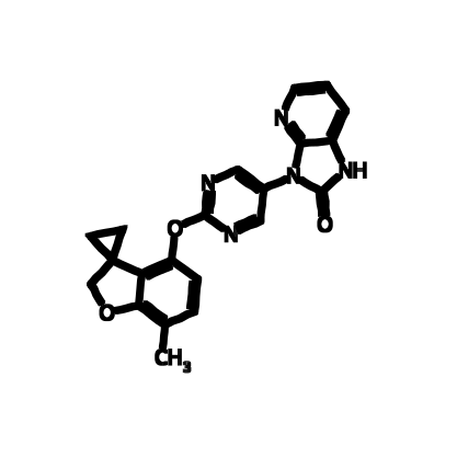 Cc1ccc(Oc2ncc(-n3c(=O)[nH]c4cccnc43)cn2)c2c1OCC21CC1